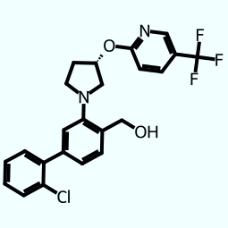 OCc1ccc(-c2ccccc2Cl)cc1N1CC[C@H](Oc2ccc(C(F)(F)F)cn2)C1